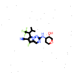 CC(C)C(c1c(C#N)c(F)c2cnc(N[C@@H]3CCOC[C@H]3O)nn12)C(F)(F)F